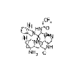 CC(C)(C)[C@H](NC(=O)CC(F)(F)F)C(=O)N1C[C@H]2[C@@H]([C@H]1C(=O)N[C@@H](C[C@@H]1Oc3ccncc3NC1=O)C(N)=O)[C@H]1C=C[C@@H]2C1